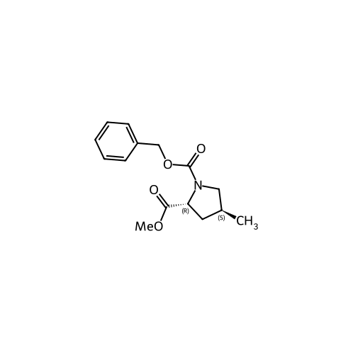 COC(=O)[C@H]1C[C@H](C)CN1C(=O)OCc1ccccc1